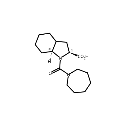 O=C(O)[C@@H]1CC2CCCC[C@@H]2N1C(=O)N1CCCCCC1